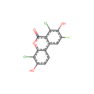 O=c1oc2c(Cl)c(O)ccc2c2cc(F)c(O)c(Cl)c12